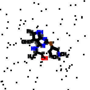 C=N/C=C(\C=C/C)Sc1nc(N[C@H](C)CO)c2c(C=O)c(CC)[nH]c2n1